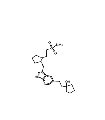 CNS(=O)(=O)CCN1CCC[C@@H]1Cc1c[nH]c2ccc(CCC3(O)CCCC3)cc12